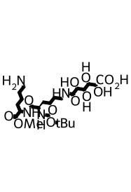 COC(=O)C(CCCCN)NC(=O)[C@@H](CCCCNC(=O)C(O)C(O)C(O)C(O)C(=O)O)NC(=O)OC(C)(C)C